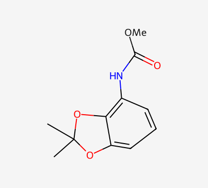 COC(=O)Nc1cccc2c1OC(C)(C)O2